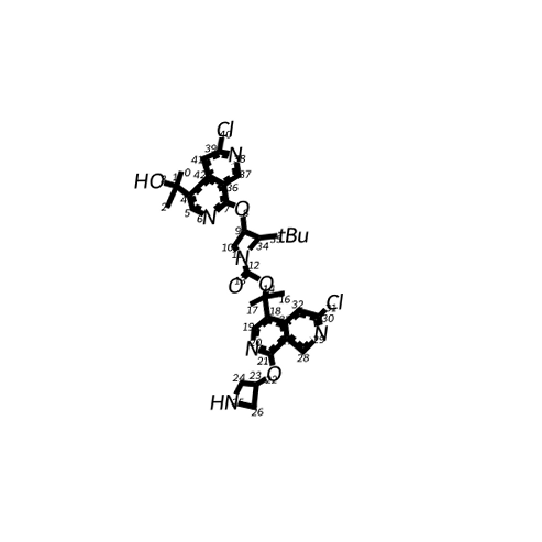 CC(C)(O)c1cnc(OC2CN(C(=O)OC(C)(C)c3cnc(OC4CNC4)c4cnc(Cl)cc34)C2C(C)(C)C)c2cnc(Cl)cc12